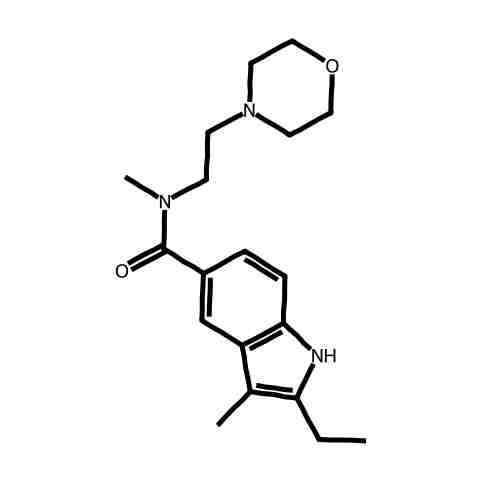 CCc1[nH]c2ccc(C(=O)N(C)CCN3CCOCC3)cc2c1C